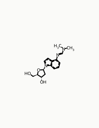 CN(C)/C=N/c1cccc2c1ccn2[C@H]1C[C@H](O)[C@@H](CO)O1